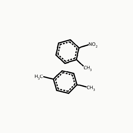 Cc1ccc(C)cc1.Cc1ccccc1[N+](=O)[O-]